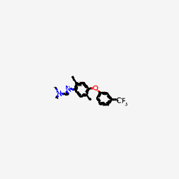 Cc1cc(Oc2cccc(C(F)(F)F)c2)c(C)cc1/N=C/N(C)C